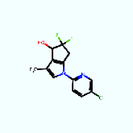 OC1c2c(C(F)(F)F)cn(-c3ccc(Cl)cn3)c2CC1(F)F